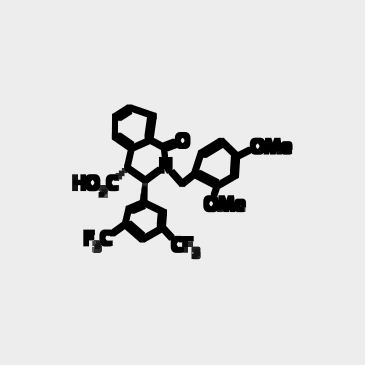 COc1ccc(CN2C(=O)c3ccccc3[C@@H](C(=O)O)[C@@H]2c2cc(C(F)(F)F)cc(C(F)(F)F)c2)c(OC)c1